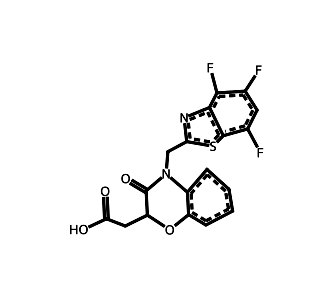 O=C(O)CC1Oc2ccccc2N(Cc2nc3c(F)c(F)cc(F)c3s2)C1=O